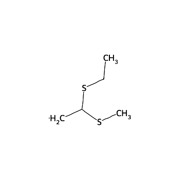 [CH2]C(SC)SCC